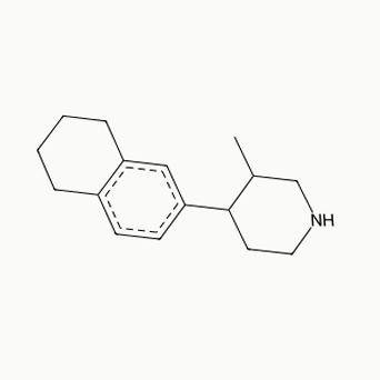 CC1CNCCC1c1ccc2c(c1)CCCC2